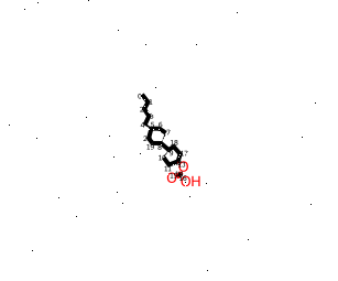 CCCCC[C@H]1CC[C@H]([C@H]2CC[C@H](OC(=O)O)CC2)CC1